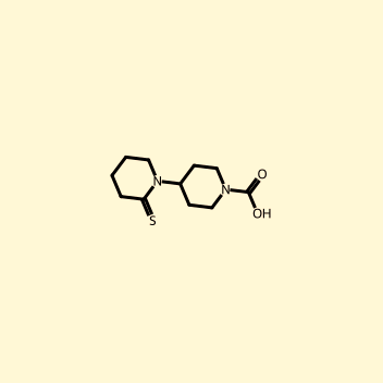 O=C(O)N1CCC(N2CCCCC2=S)CC1